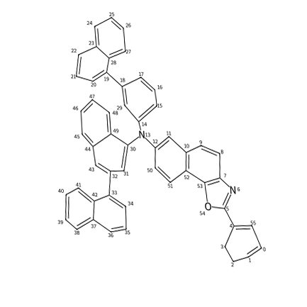 C1=CCCC(c2nc3ccc4cc(N(c5cccc(-c6cccc7ccccc67)c5)c5cc(-c6cccc7ccccc67)cc6ccccc56)ccc4c3o2)=C1